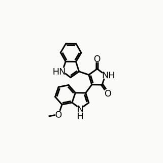 COc1cccc2c(C3=C(c4c[nH]c5ccccc45)C(=O)NC3=O)c[nH]c12